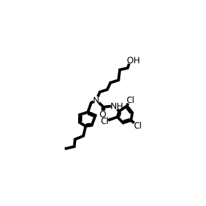 CCCCc1ccc(CN(CCCCCCO)C(=O)Nc2c(Cl)cc(Cl)cc2Cl)cc1